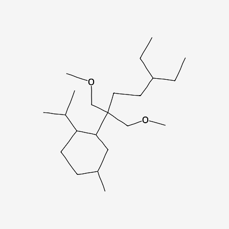 CCC(CC)CCC(COC)(COC)C1CC(C)CCC1C(C)C